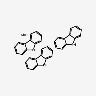 [RhH].c1ccc2c(c1)[pH]c1ccccc12.c1ccc2c(c1)[pH]c1ccccc12.c1ccc2c(c1)[pH]c1ccccc12